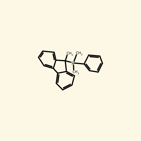 [CH2]C1([Si](C)(C)c2ccccc2)c2ccccc2-c2ccccc21